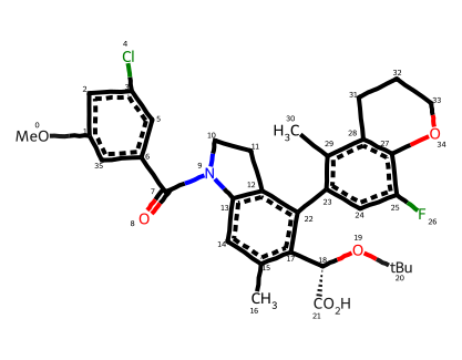 COc1cc(Cl)cc(C(=O)N2CCc3c2cc(C)c([C@H](OC(C)(C)C)C(=O)O)c3-c2cc(F)c3c(c2C)CCCO3)c1